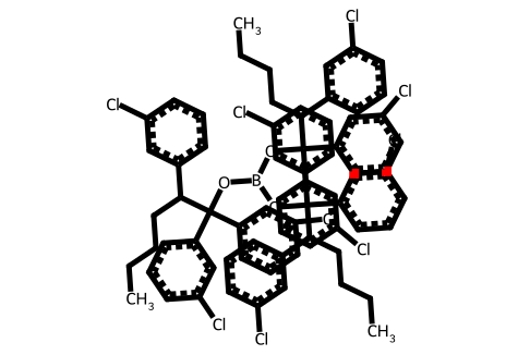 CCCCC(c1cccc(Cl)c1)C(OB(OC(c1cccc(Cl)c1)(c1cccc(Cl)c1)C(CCCC)c1cccc(Cl)c1)OC(c1cccc(Cl)c1)(c1cccc(Cl)c1)C(CCCC)c1cccc(Cl)c1)(c1cccc(Cl)c1)c1cccc(Cl)c1